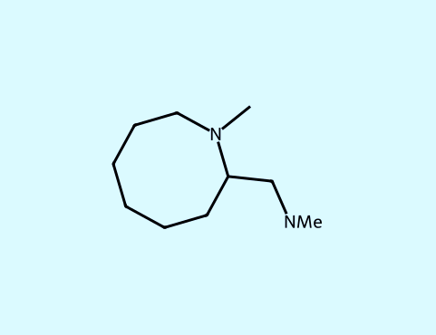 CNCC1CCCCCCN1C